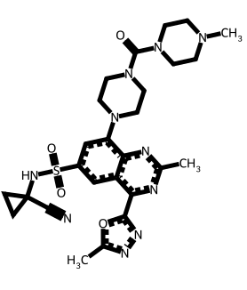 Cc1nc(-c2nnc(C)o2)c2cc(S(=O)(=O)NC3(C#N)CC3)cc(N3CCN(C(=O)N4CCN(C)CC4)CC3)c2n1